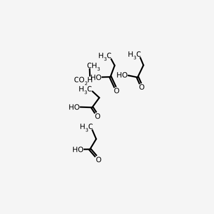 CC(=O)O.CCC(=O)O.CCC(=O)O.CCC(=O)O.CCC(=O)O